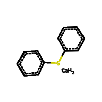 [CaH2].c1ccc(Sc2ccccc2)cc1